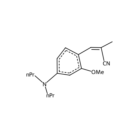 CCCN(CCC)c1ccc(/C=C(/C)C#N)c(OC)c1